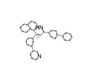 N=C(/C=C(/c1cccc(-c2cccnc2)c1)c1cccc2ccccc12)c1ccc(-c2ccccc2)cc1